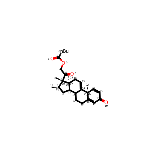 CCCCC(=O)OCC(=O)[C@@]1(C)[C@H](C)CC2C3CCC4=CC(=O)C=C[C@]4(C)C3=CC[C@@]21C